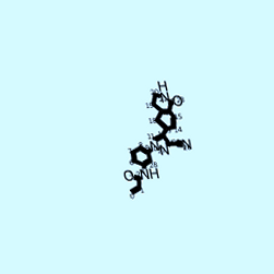 C=CC(=O)Nc1cccc(-n2cc(-c3ccc4c(c3)CCNC4=O)c(C#N)n2)c1